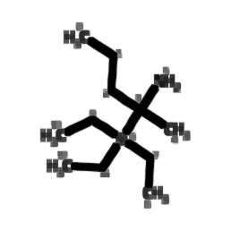 CCCC(C)(N)[Si](CC)(CC)CC